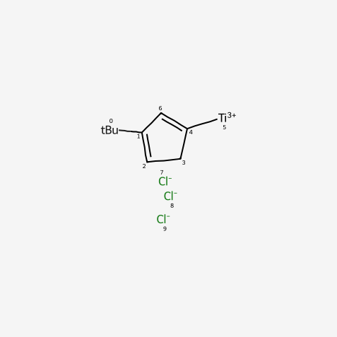 CC(C)(C)C1=CC[C]([Ti+3])=C1.[Cl-].[Cl-].[Cl-]